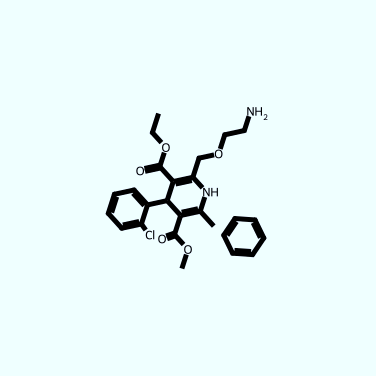 CCOC(=O)C1=C(COCCN)NC(C)=C(C(=O)OC)C1c1ccccc1Cl.c1ccccc1